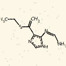 C=C(SCC)c1nc[nH]c1/N=C\N